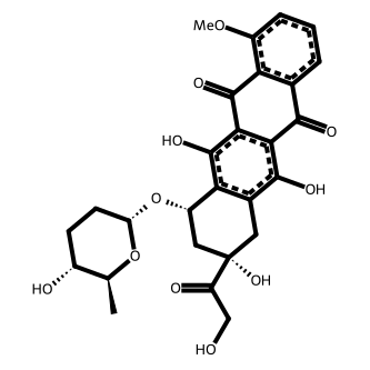 COc1cccc2c1C(=O)c1c(O)c3c(c(O)c1C2=O)C[C@@](O)(C(=O)CO)C[C@@H]3O[C@H]1CC[C@@H](O)[C@H](C)O1